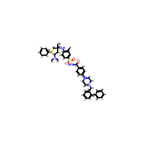 Cc1cc(S(=O)(=O)NC(=O)c2ccc(N3CCN(Cc4ccccc4-c4ccccc4)CC3)cc2)ccc1NC(C)(CCN(C)C)CSc1ccccc1